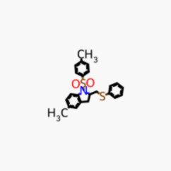 Cc1ccc(S(=O)(=O)N2c3ccc(C)cc3CC2CSc2ccccc2)cc1